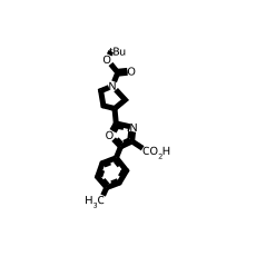 Cc1ccc(-c2oc(C3CCN(C(=O)OC(C)(C)C)C3)nc2C(=O)O)cc1